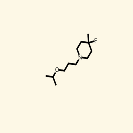 CC(C)OCCCN1CCC(C)(F)CC1